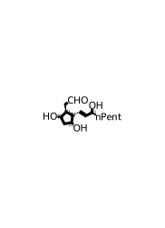 CCCCC[C@H](O)C=C[C@H]1[C@H](CC=O)[C@H](O)C[C@@H]1O